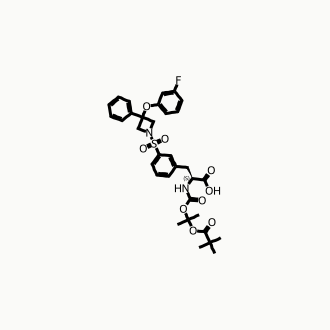 CC(C)(OC(=O)N[C@@H](Cc1cccc(S(=O)(=O)N2CC(Oc3cccc(F)c3)(c3ccccc3)C2)c1)C(=O)O)OC(=O)C(C)(C)C